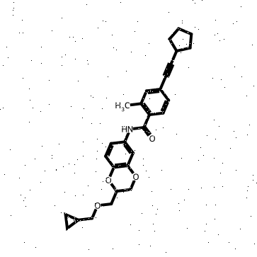 Cc1cc(C#CC2CCCC2)ccc1C(=O)Nc1ccc2c(c1)OCC(COCC1CC1)O2